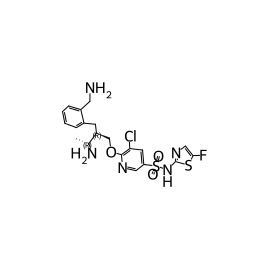 C[C@@H](N)[C@H](COc1ncc(S(=O)(=O)Nc2ncc(F)s2)cc1Cl)Cc1ccccc1CN